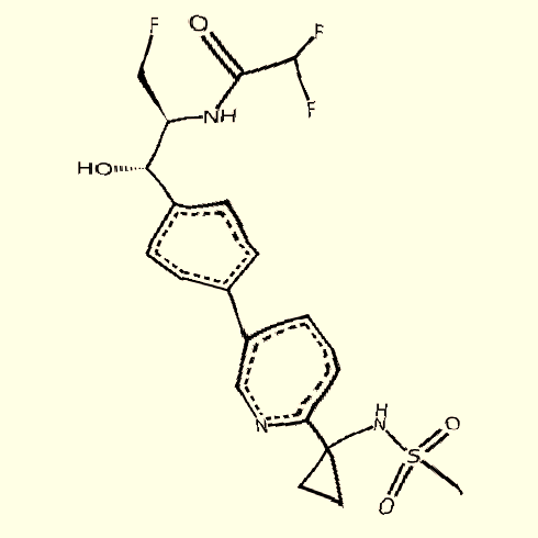 CS(=O)(=O)NC1(c2ccc(-c3ccc([C@H](O)[C@@H](CF)NC(=O)C(F)F)cc3)cn2)CC1